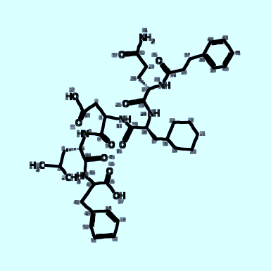 CC(C)C[C@H](NC(=O)C(CC(=O)O)NC(=O)[C@H](CC1CCCCC1)NC(=O)[C@H](CCC(N)=O)NC(=O)CCc1ccccc1)C(=O)NC(Cc1ccccc1)C(=O)O